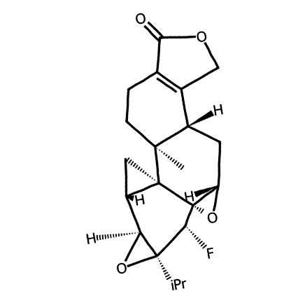 CC(C)[C@]12O[C@H]1[C@@H]1C[C@]13[C@]1(O[C@H]1C[C@H]1C4=C(CC[C@@]13C)C(=O)OC4)[C@@H]2F